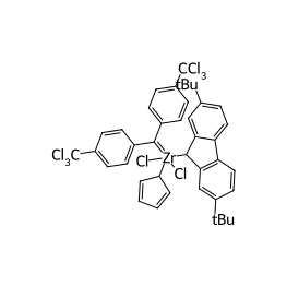 CC(C)(C)c1ccc2c(c1)[CH]([Zr]([Cl])([Cl])(=[C](c1ccc(C(Cl)(Cl)Cl)cc1)c1ccc(C(Cl)(Cl)Cl)cc1)[CH]1C=CC=C1)c1cc(C(C)(C)C)ccc1-2